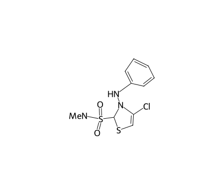 CNS(=O)(=O)C1SC=C(Cl)N1Nc1ccccc1